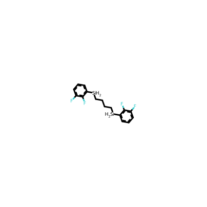 Fc1cccc([SiH2]CCCC[SiH2]c2cccc(F)c2F)c1F